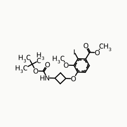 COC(=O)c1ccc(OC2CC(NC(=O)OC(C)(C)C)C2)c(OC)c1I